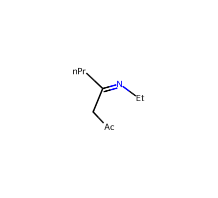 CCCC(CC(C)=O)=NCC